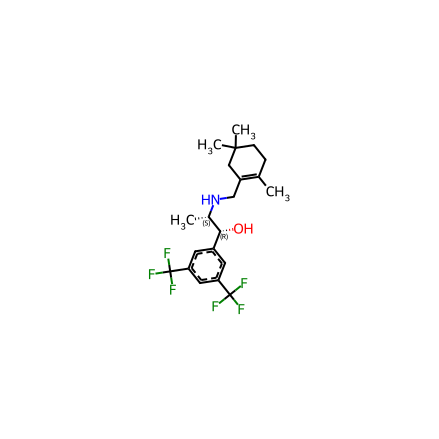 CC1=C(CN[C@@H](C)[C@H](O)c2cc(C(F)(F)F)cc(C(F)(F)F)c2)CC(C)(C)CC1